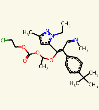 CCn1nc(C)cc1/C(OC(C)OC(=O)OCCCl)=C(\C=N/C)c1ccc(C(C)(C)C)cc1